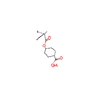 CC(C)(I)C(=O)OC1CCC(C(=O)O)CC1